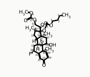 CCCCOC(=O)O[C@]1(C(=O)COC(=O)OC)[C@H](C)C[C@H]2[C@@H]3C[C@H](F)C4=CC(=O)C=C[C@]4(C)[C@@]3(F)[C@@H](O)C[C@@]21C